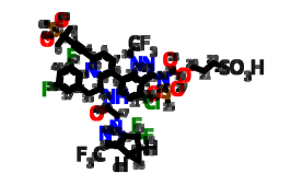 CC(C)(C#Cc1ccc(-c2ccc(Cl)c3c(N(C(=O)OCCCS(=O)(=O)O)S(C)(=O)=O)nn(CC(F)(F)F)c23)c(C(Cc2cc(F)cc(F)c2)NC(=O)Cn2nc(C(F)(F)F)c3c2C(F)(F)[C@@H]2C[C@H]32)n1)S(C)(=O)=O